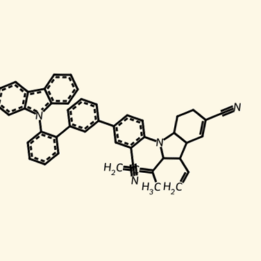 C=C=C(C)C1C(C=C)C2C=C(C#N)CCC2N1c1ccc(-c2cccc(-c3ccccc3-n3c4ccccc4c4ccccc43)c2)cc1C#N